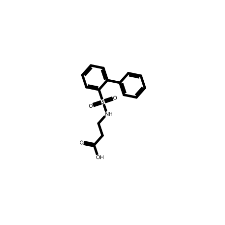 O=C(O)CCNS(=O)(=O)c1ccccc1-c1ccccc1